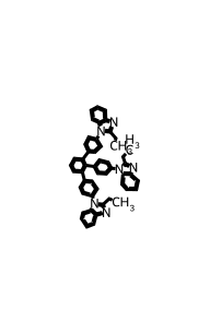 CCc1nc2ccccc2n1-c1ccc(-c2cccc(-c3ccc(-n4c(CC)nc5ccccc54)cc3)c2-c2ccc(-n3c(CC)nc4ccccc43)cc2)cc1